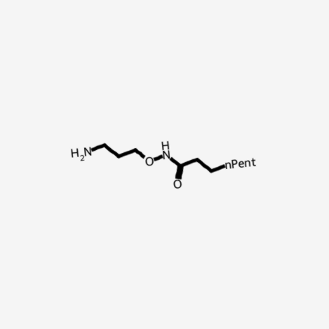 CCCCCCCC(=O)NOCCCN